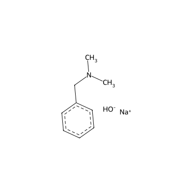 CN(C)Cc1ccccc1.[Na+].[OH-]